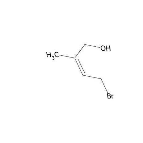 CC(=CCBr)CO